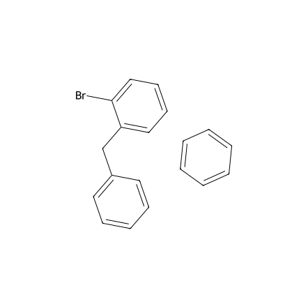 Brc1ccccc1Cc1ccccc1.c1ccccc1